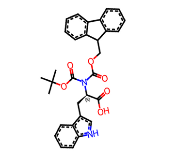 CC(C)(C)OC(=O)N(C(=O)OCC1c2ccccc2-c2ccccc21)[C@H](Cc1c[nH]c2ccccc12)C(=O)O